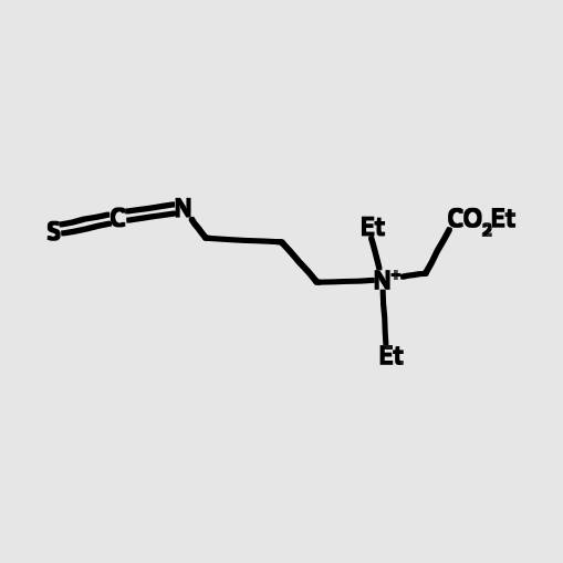 CCOC(=O)C[N+](CC)(CC)CCCN=C=S